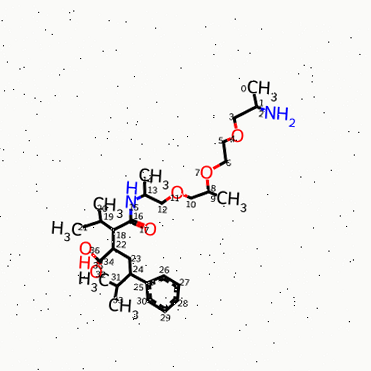 CC(N)COCCOC(C)COCC(C)NC(=O)C(C(C)C)C(CC(c1ccccc1)C(C)C)C(=O)O